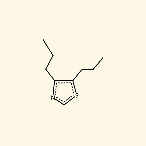 CCCc1n[c]sc1CCC